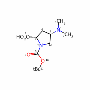 CN(C)[C@H]1C[C@@H](C(=O)O)N(C(=O)OC(C)(C)C)C1